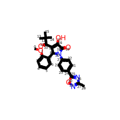 COc1ccccc1C1C(C(=O)C(C)(C)C)=C(O)C(=O)N1c1ccc(-c2nc(C)no2)cc1